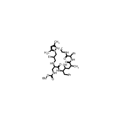 CCC(CNC(CNC(=O)OC(C)(C)C)C(=O)NC(CC(C)C)C(O)CC(C)C(=O)NC(C(=O)NCC(F)(F)F)C(C)C)Cn1nc(C)cc1C